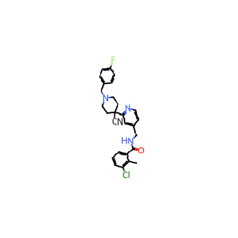 Cc1c(Cl)cccc1C(=O)NCc1ccnc(C2(C#N)CCN(Cc3ccc(F)cc3)CC2)c1